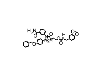 C[C@]1(CCOC(=O)NCc2ccc3c(c2)OCO3)S[C@@H](c2ccc(OCc3ccccc3)cc2)N(c2cccc(C(N)=O)c2)C1=O